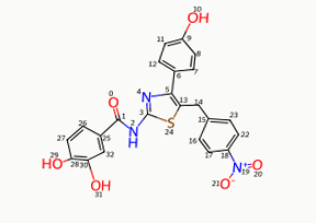 O=C(Nc1nc(-c2ccc(O)cc2)c(Cc2ccc([N+](=O)[O-])cc2)s1)c1ccc(O)c(O)c1